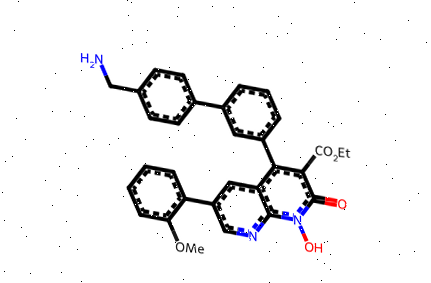 CCOC(=O)c1c(-c2cccc(-c3ccc(CN)cc3)c2)c2cc(-c3ccccc3OC)cnc2n(O)c1=O